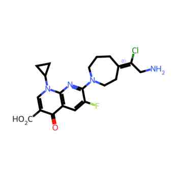 NC/C(Cl)=C1/CCCN(c2nc3c(cc2F)c(=O)c(C(=O)O)cn3C2CC2)CC1